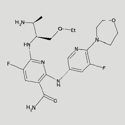 CCOC[C@@H](Nc1nc(Nc2cnc(N3CCOCC3)c(F)c2)c(C(N)=O)cc1F)[C@H](C)N